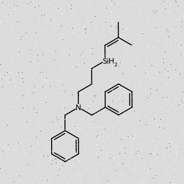 CC(C)=C[SiH2]CCCN(Cc1ccccc1)Cc1ccccc1